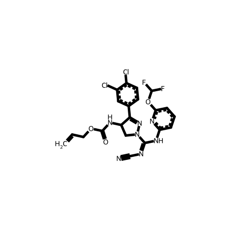 C=CCOC(=O)NC1CN(/C(=N\C#N)Nc2cccc(OC(F)F)n2)N=C1c1ccc(Cl)c(Cl)c1